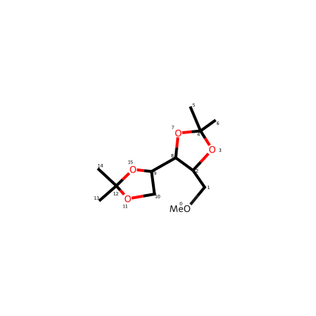 COCC1OC(C)(C)OC1C1COC(C)(C)O1